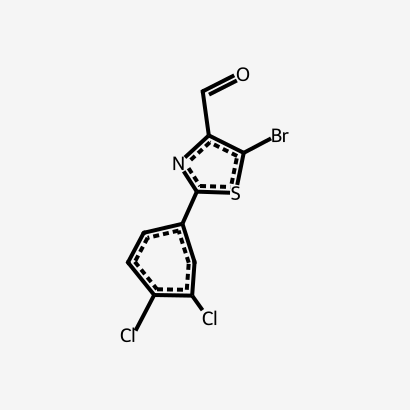 O=Cc1nc(-c2ccc(Cl)c(Cl)c2)sc1Br